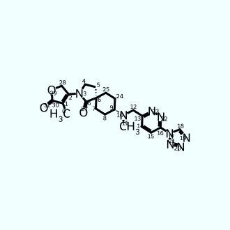 CC1=C(N2CC[C@]3(CC[C@@H](N(C)Cc4ccc(-n5cnnn5)nn4)CC3)C2=O)COC1=O